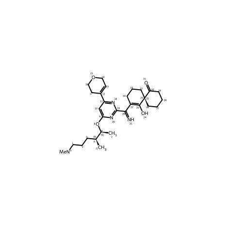 CNCCC[C@H](C)[C@H](C)Oc1cc(C2=CCOCC2)nc(C(=N)C2=C(O)[C@]3(CCCCC3=O)CCC2)n1